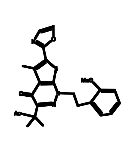 COc1ccccc1CCn1nc(C(C)(C)C(C)=O)c(=O)c2c(C)c(-c3ncco3)sc21